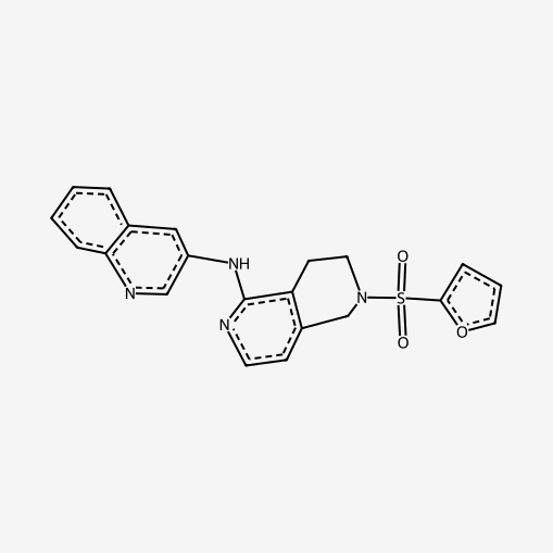 O=S(=O)(c1ccco1)N1CCc2c(ccnc2Nc2cnc3ccccc3c2)C1